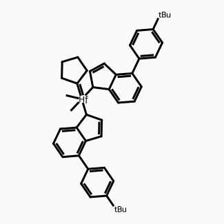 CC(C)(C)c1ccc(-c2cccc3c2C=C[CH]3[Hf]([CH3])([CH3])(=[C]2CCCC2)[CH]2C=Cc3c(-c4ccc(C(C)(C)C)cc4)cccc32)cc1